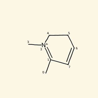 CC1=[N+](C)CCC=C1